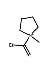 C=C(CC)[N+]1(C)CCCC1